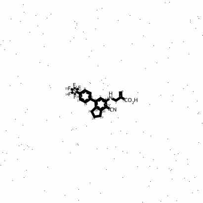 C=C(CNc1cc(-c2ccc(S(F)(F)(F)(F)F)cc2)c2c(c1C#N)CCC2)C(=O)O